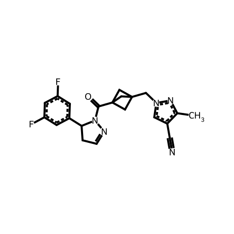 Cc1nn(CC23CC(C(=O)N4N=CCC4c4cc(F)cc(F)c4)(C2)C3)cc1C#N